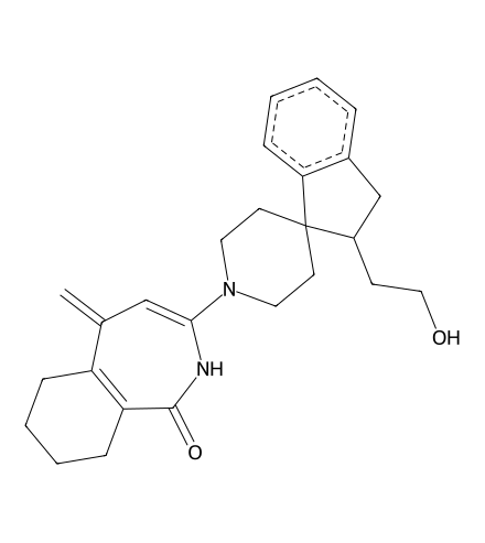 C=C1C=C(N2CCC3(CC2)c2ccccc2CC3CCO)NC(=O)C2=C1CCCC2